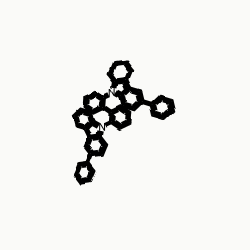 C1=Cc2c(n(-c3ccccc3-c3ccccc3-n3c4ccccc4c4cc(-c5ccccc5)ccc43)c3ccc(-c4ccccc4)cc23)CC1